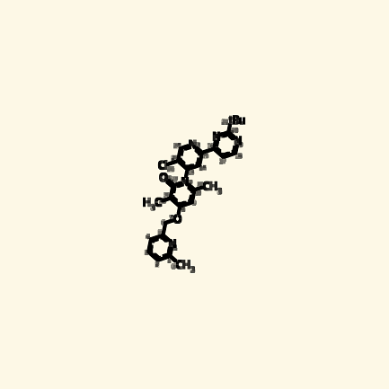 Cc1cccc(COc2cc(C)n(-c3cc(-c4ccnc(C(C)(C)C)n4)ncc3Cl)c(=O)c2C)n1